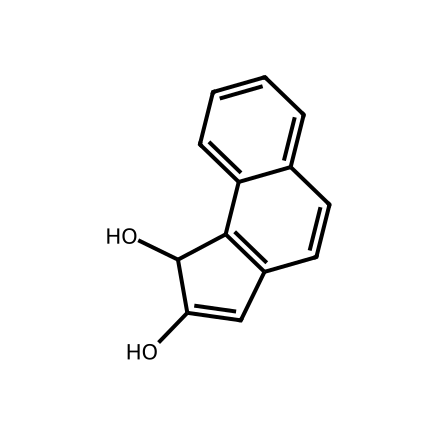 OC1=Cc2ccc3ccccc3c2C1O